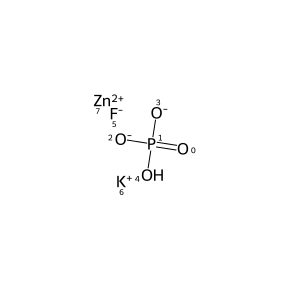 O=P([O-])([O-])O.[F-].[K+].[Zn+2]